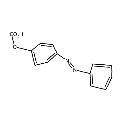 O=C(O)Oc1ccc(N=Nc2ccccc2)cc1